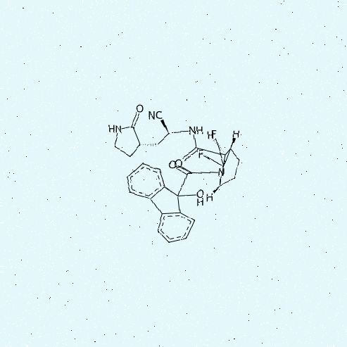 N#C[C@H](C[C@@H]1CCNC1=O)NC(=O)[C@H]1[C@@H]2CC[C@@H](CC2(F)F)N1C(=O)C1(O)c2ccccc2-c2ccccc21